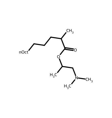 CCCCCCCCCCCC(C)C(=O)OC(C)CN(C)C